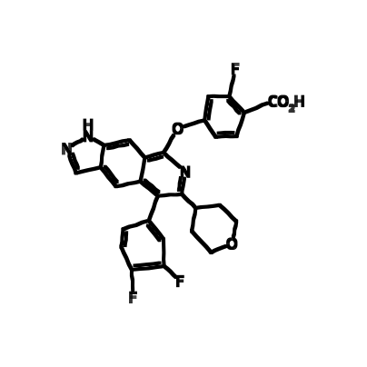 O=C(O)c1ccc(Oc2nc(C3CCOCC3)c(-c3ccc(F)c(F)c3)c3cc4cn[nH]c4cc23)cc1F